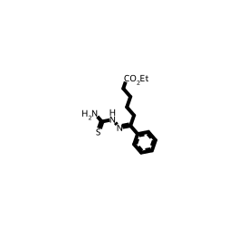 CCOC(=O)CCCCC(=NNC(N)=S)c1ccccc1